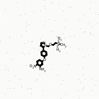 C[Si](C)(C)CCOCn1nccc1-c1ccc(Oc2ccc([N+](=O)[O-])c(N)c2)cc1